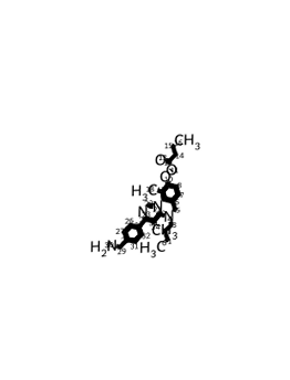 CCCCN(Cc1ccc(OOC(=O)CCC)c(C)c1)c1ncnc(-c2ccc(CN)cc2)c1C